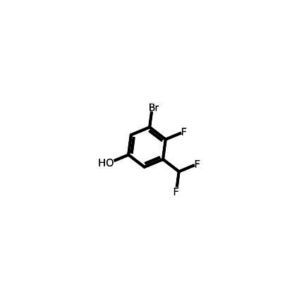 Oc1cc(Br)c(F)c(C(F)F)c1